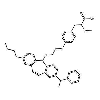 CCCCc1ccc2c(c1)C=Cc1cc(C(C)c3ccccc3)ccc1C2OCCOc1ccc(CC(OC)C(=O)O)cc1